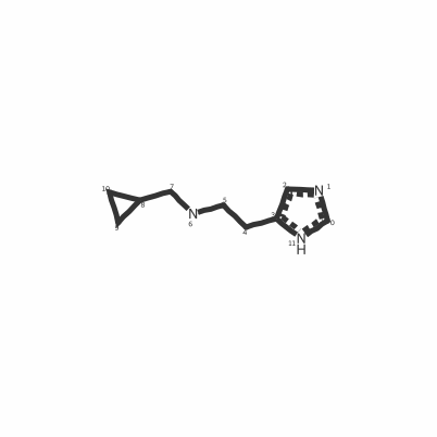 c1ncc(CC[N]CC2CC2)[nH]1